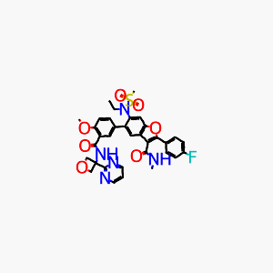 CCN(c1cc2oc(-c3ccc(F)cc3)c(C(=O)NC)c2cc1-c1ccc(OC)c(C(=O)NC2(c3ncccn3)COC2)c1)S(C)(=O)=O